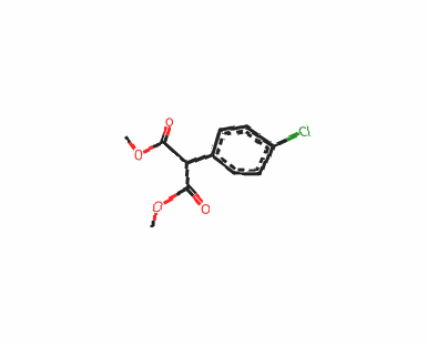 COC(=O)C(C(=O)OC)c1ccc(Cl)cc1